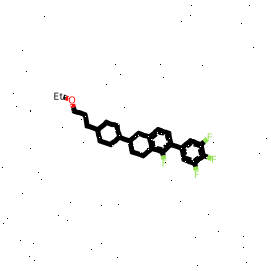 CCOCCCC1CCC(C2CCc3c(ccc(-c4cc(F)c(F)c(F)c4)c3F)C2)CC1